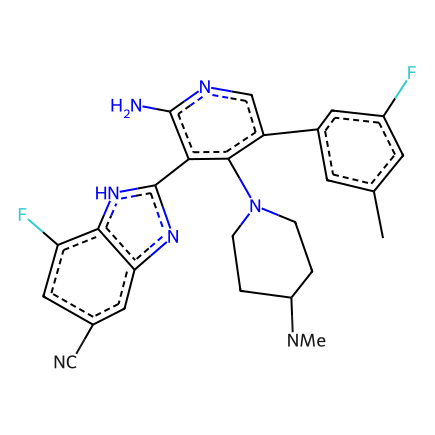 CNC1CCN(c2c(-c3cc(C)cc(F)c3)cnc(N)c2-c2nc3cc(C#N)cc(F)c3[nH]2)CC1